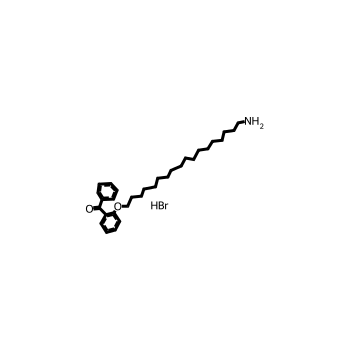 Br.NCCCCCCCCCCCCCCCCCCOc1ccccc1C(=O)c1ccccc1